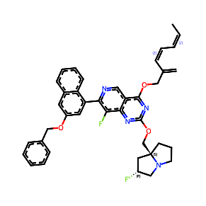 C=C(/C=C\C=C/C)COc1nc(OC[C@@]23CCCN2C[C@H](F)C3)nc2c(F)c(-c3cc(OCc4ccccc4)cc4ccccc34)ncc12